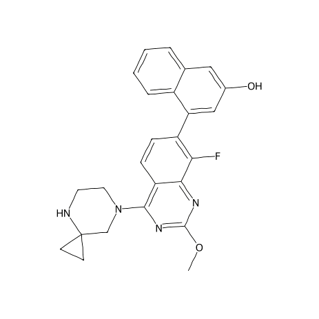 COc1nc(N2CCNC3(CC3)C2)c2ccc(-c3cc(O)cc4ccccc34)c(F)c2n1